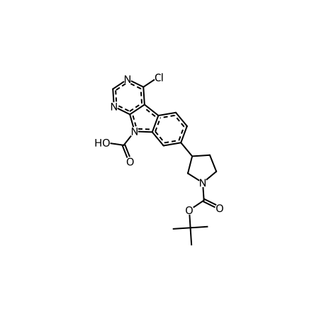 CC(C)(C)OC(=O)N1CCC(c2ccc3c4c(Cl)ncnc4n(C(=O)O)c3c2)C1